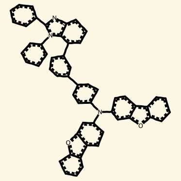 c1ccc(-c2nc3cccc(-c4cccc(-c5ccc(N(c6ccc7c(c6)oc6ccccc67)c6ccc7c(c6)oc6ccccc67)cc5)c4)c3n2-c2ccccc2)cc1